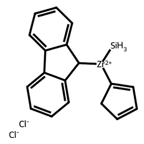 [Cl-].[Cl-].[SiH3][Zr+2]([C]1=CC=CC1)[CH]1c2ccccc2-c2ccccc21